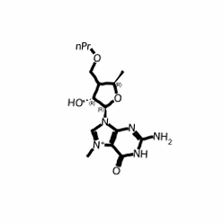 CCCOCC1[C@@H](O)[C@H](n2c[n+](C)c3c(=O)[nH]c(N)nc32)O[C@@H]1C